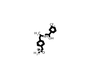 CC(Cc1ccc(CS(C)(=O)=O)cc1)NCC(O)c1cccc(C(F)(F)F)c1